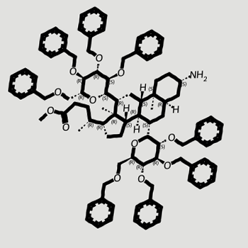 COC(=O)CC[C@@H](C)[C@H]1CC[C@H]2[C@@H]3[C@@H](C4O[C@H](COCc5ccccc5)[C@@H](OCc5ccccc5)[C@H](OCc5ccccc5)[C@H]4OCc4ccccc4)C[C@@H]4C[C@@H](N)CC[C@]4(C)[C@H]3C[C@@H]([C@@H]3O[C@H](COCc4ccccc4)[C@@H](OCc4ccccc4)[C@H](OCc4ccccc4)[C@H]3OCc3ccccc3)[C@]12C